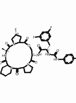 Cc1ccc(NC(=O)N[C@@H](Cc2cc(F)cc(F)c2)C(=O)N[C@H]2COC(=O)C3C[C@@H](F)CN3C(=O)[C@H](C)NC(=O)C3CCCCN3C(=O)C3CCCN3C2=O)cc1